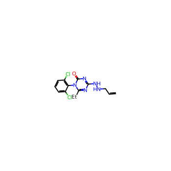 C=CCNNc1nc(CC)n(-c2c(Cl)cccc2Cl)c(=O)n1